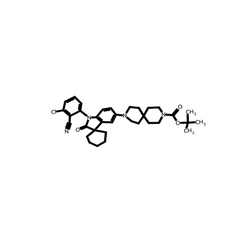 CC(C)(C)OC(=O)N1CCC2(CC1)CCN(c1ccc3c(c1)C1(CCCCC1)C(=O)N3c1cccc(Cl)c1C#N)CC2